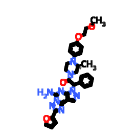 COCCOc1ccc(N2CCN(C(=O)C(c3ccccc3)n3ncc4c3nc(N)n3nc(-c5ccco5)nc43)C[C@H]2C)cc1